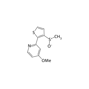 COc1ccnc(-c2sccc2[S+](C)[O-])c1